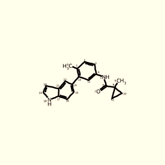 Cc1ccc(NC(=O)C2(C)CC2)cc1-c1ccc2[nH]ccc2c1